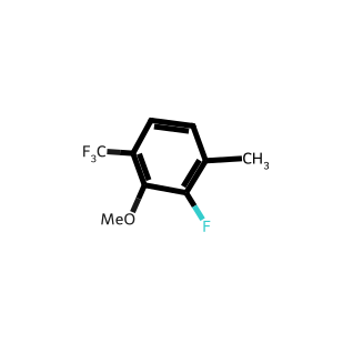 COc1c(C(F)(F)F)ccc(C)c1F